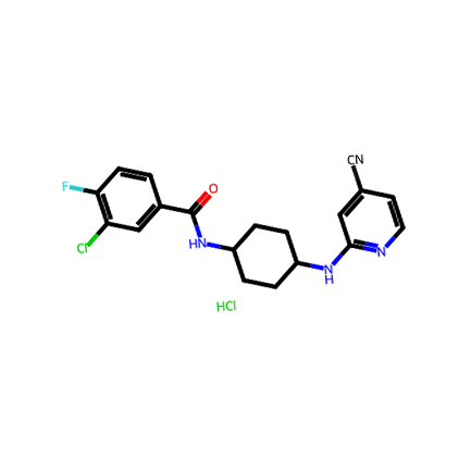 Cl.N#Cc1ccnc(NC2CCC(NC(=O)c3ccc(F)c(Cl)c3)CC2)c1